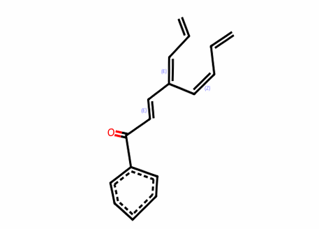 C=C\C=C/C(/C=C/C(=O)c1ccccc1)=C\C=C